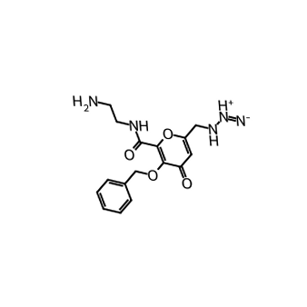 [N-]=[NH+]NCc1cc(=O)c(OCc2ccccc2)c(C(=O)NCCN)o1